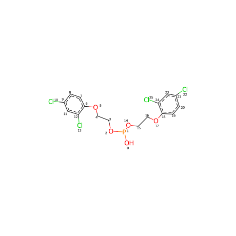 OP(OCCOc1ccc(Cl)cc1Cl)OCCOc1ccc(Cl)cc1Cl